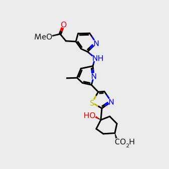 COC(=O)Cc1ccnc(Nc2cc(C)cc(-c3cnc([C@]4(O)CC[C@@H](C(=O)O)CC4)s3)n2)c1